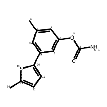 Cc1cc(OC(N)=O)cc(-c2ccc(C)s2)c1